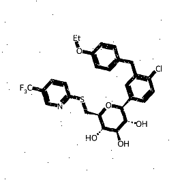 CCOc1ccc(Cc2cc([C@@H]3O[C@H](CSc4ccc(C(F)(F)F)cn4)[C@@H](O)[C@H](O)[C@H]3O)ccc2Cl)cc1